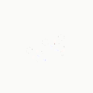 COC(=O)N[C@H](C(=O)Nc1cccc(F)c1CC[C@H]1CNC[C@@H](C)N1S(=O)(=O)c1ccccc1)[C@@H](c1ccc(Cl)cc1)C(C)C